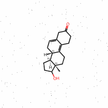 C[C@]12CCC3=C4CCC(=O)CC4=CC[C@H]3[C@@H]1CCC2O